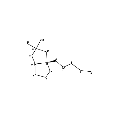 CCCOC[C@@]12CCCN1CC(C)(C)C2